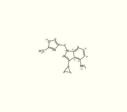 Cc1nc(Cn2nc(C3CC3)c3c(N)cccc32)co1